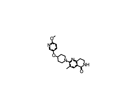 COc1ccc(OC2CCN(c3nc4c(cc3C)C(=O)NCC4)CC2)cn1